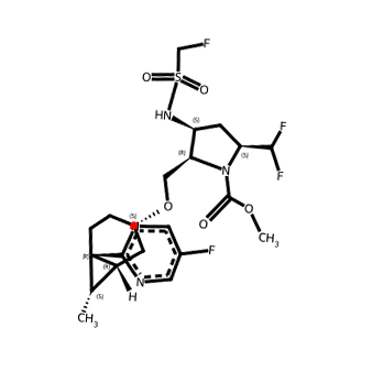 COC(=O)N1[C@H](C(F)F)C[C@H](NS(=O)(=O)CF)[C@@H]1CO[C@H]1CC[C@]2(c3ncc(F)cn3)[C@H](C1)[C@@H]2C